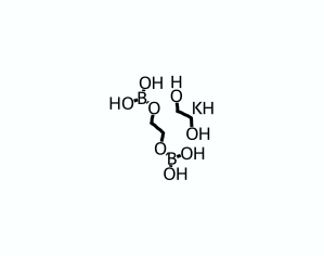 OB(O)OCCOB(O)O.OCCO.[KH]